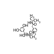 CC(C)NC(=O)Cc1cccc(CC(C)(C)NCC(O)c2cc(O)cc(O)c2)c1